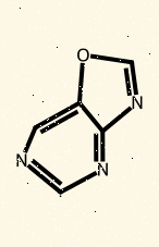 [c]1ncc2ocnc2n1